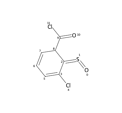 O=S=C1C(Cl)=CC=CC1C(=O)Cl